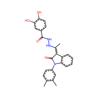 C/C(NNC(=O)c1ccc(O)c(O)c1)=C1/C(=O)N(c2ccc(C)c(C)c2)c2ccccc21